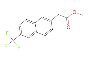 COC(=O)Cc1ccc2cc(C(F)(F)F)ccc2c1